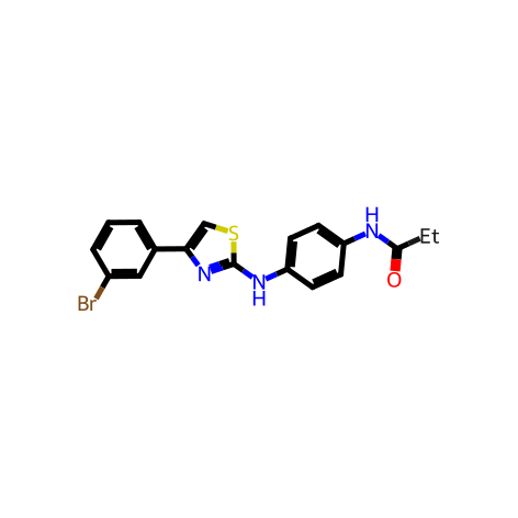 CCC(=O)Nc1ccc(Nc2nc(-c3cccc(Br)c3)cs2)cc1